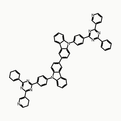 C1=CC(c2nc(C3=CN=CCC3)nc(-c3ccc(-n4c5ccccc5c5cc(-c6ccc7c(c6)c6ccccc6n7-c6ccc(-c7nc(-c8ccccc8)nc(-c8cccnc8)n7)cc6)ccc54)cc3)n2)=CCC1